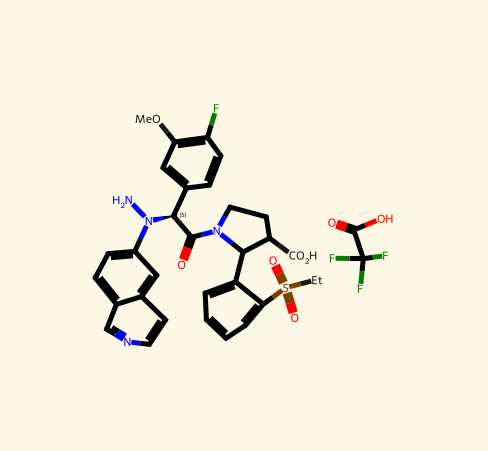 CCS(=O)(=O)c1ccccc1C1C(C(=O)O)CCN1C(=O)[C@H](c1ccc(F)c(OC)c1)N(N)c1ccc2cnccc2c1.O=C(O)C(F)(F)F